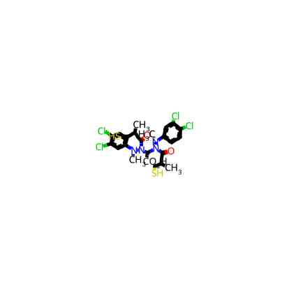 CC(CS)C(=O)N(C(C(=O)O)N(C(=O)C(C)CS)N(C)c1ccc(Cl)c(Cl)c1)N(C)c1ccc(Cl)c(Cl)c1